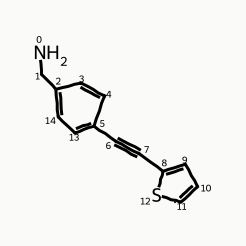 NCc1ccc(C#Cc2cc[c]s2)cc1